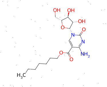 CCCCCCCOC(=O)c1cn([C@@H]2O[C@H](CO)[C@@H](O)[C@@H]2O)c(=O)nc1N